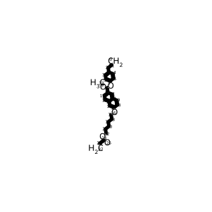 C=CCc1ccc(OC(=O)c2ccc3cc(OCCCCCCOC(=O)C=C)ccc3c2)c(C)c1